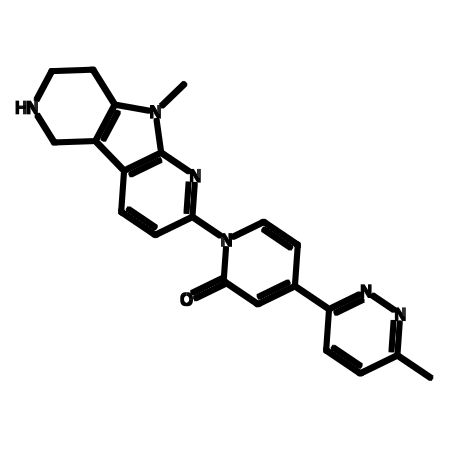 Cc1ccc(-c2ccn(-c3ccc4c5c(n(C)c4n3)CCNC5)c(=O)c2)nn1